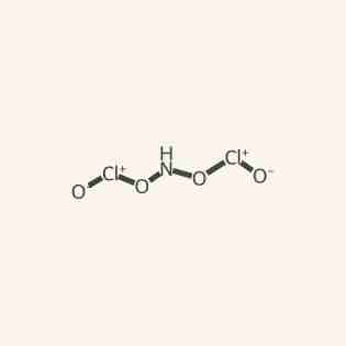 [O-][Cl+]ONO[Cl+][O-]